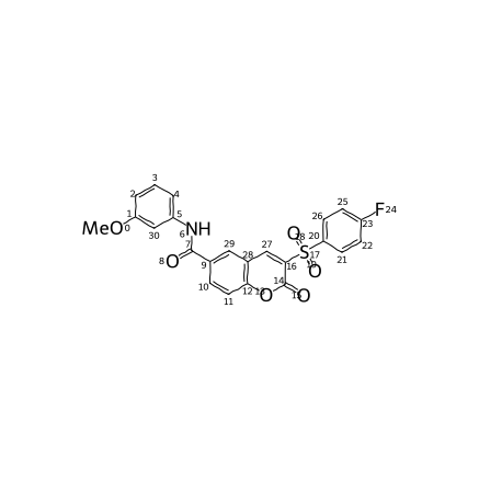 COc1cccc(NC(=O)c2ccc3oc(=O)c(S(=O)(=O)c4ccc(F)cc4)cc3c2)c1